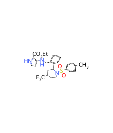 CCOC(=O)c1[nH]ccc1NCc1ccccc1C1CC(C(F)(F)F)CCN1S(=O)(=O)c1ccc(C)cc1